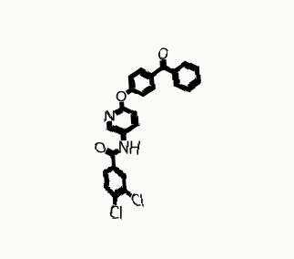 O=C(Nc1ccc(Oc2ccc(C(=O)c3ccccc3)cc2)nc1)c1ccc(Cl)c(Cl)c1